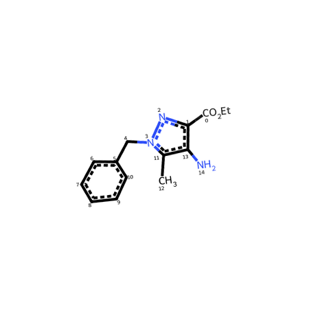 CCOC(=O)c1nn(Cc2ccccc2)c(C)c1N